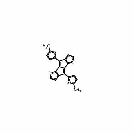 Cc1ccc(C2=C3C(=C(c4ccc(C)s4)c4ccsc43)c3sccc32)s1